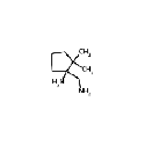 CC1(C)CCCC1(N)CN